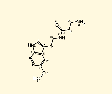 COc1ccc2[nH]cc(CCNC(=O)CCN)c2c1